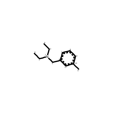 CCN(CC)Cc1cccc(C)c1